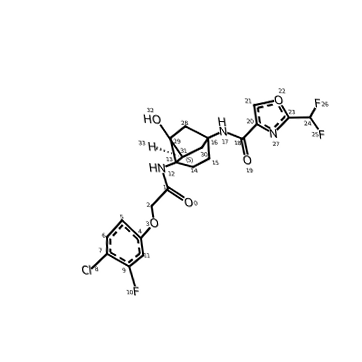 O=C(COc1ccc(Cl)c(F)c1)NC12CCC(NC(=O)c3coc(C(F)F)n3)(CC1)C[C@@H]2O